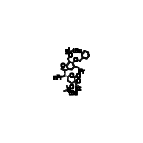 CCCC(c1coc2c(CO[Si](C)(C)C(C)(C)C)c(OCc3ccccc3)c(CC(C)C)cc12)[C@H]1C[C@@H](O[Si](C)(C)C(C)(C)C)C2(OC2CC)C(=O)O1